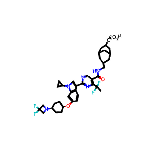 CC(F)(F)c1nc(-c2cn(C3CC3)c3cc(O[C@H]4CC[C@H](N5CC(F)(F)C5)CC4)ccc23)ncc1C(=O)NCC1CC2CC(CC(=O)O)CC(C1)C2